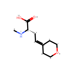 CN[C@@H](CC=C1CCOCC1)C(=O)O